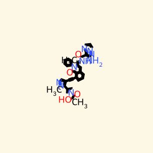 CC(O)C(=O)N1CC(c2c(C#Cc3cccc4cc([C@H](C)NC(=O)c5c(N)nn6cccnc56)n(-c5ccccc5)c(=O)c34)cnn2C)C1